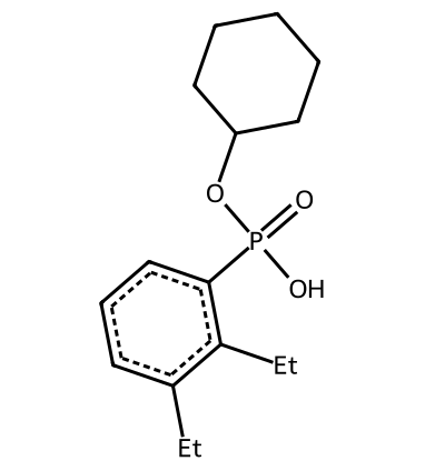 CCc1cccc(P(=O)(O)OC2CCCCC2)c1CC